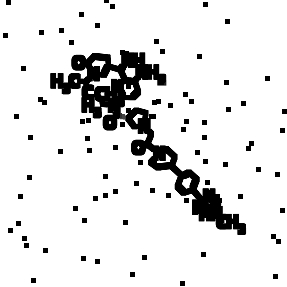 CCN(C(=O)[C@@H]1CCN(CC(=O)N2CC=C(c3ccc(C(=N)/N=C\NC)cc3)CC2)C1)c1ccc(N)c(C(=N)c2ccc(=O)n(C(C)C)c2)n1